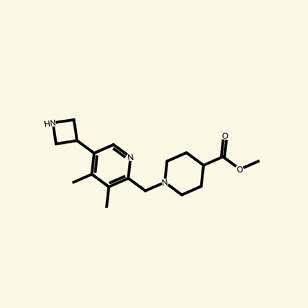 COC(=O)C1CCN(Cc2ncc(C3CNC3)c(C)c2C)CC1